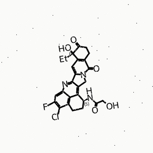 CC[C@@]1(O)C(=O)CCc2c1cc1n(c2=O)Cc2c-1nc1cc(F)c(Cl)c3c1c2[C@@H](NC(=O)CO)CC3